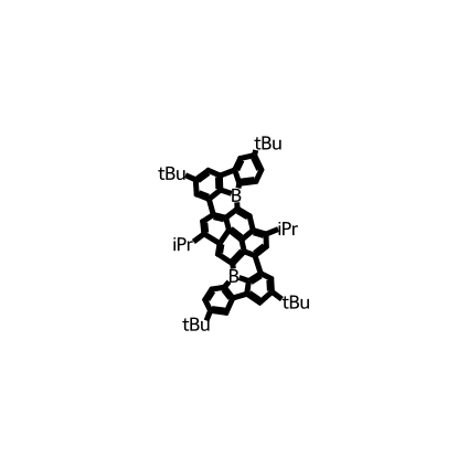 CC(C)c1cc2c3c(cc4c(C(C)C)cc5c6c(cc1c3c46)B1c3ccc(C(C)(C)C)cc3-c3cc(C(C)(C)C)cc-5c31)B1c3ccc(C(C)(C)C)cc3-c3cc(C(C)(C)C)cc-2c31